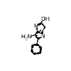 Nc1c(-c2ccccc2)nn2c1N=C(O)C2